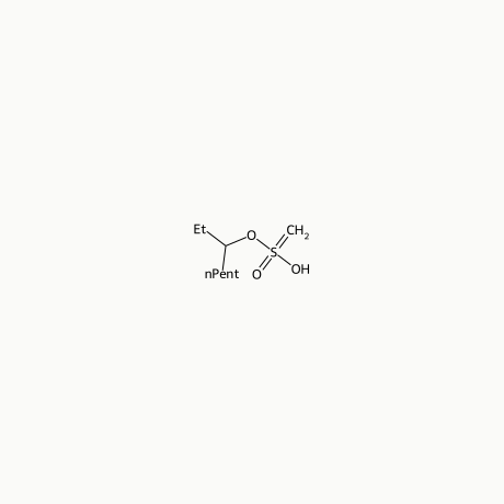 C=S(=O)(O)OC(CC)CCCCC